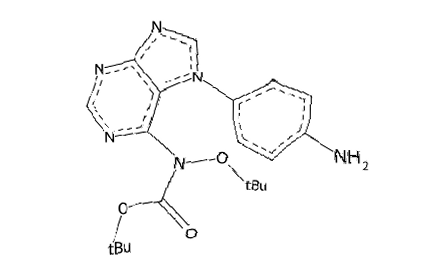 CC(C)(C)OC(=O)N(OC(C)(C)C)c1ncnc2ncn(-c3ccc(N)cc3)c12